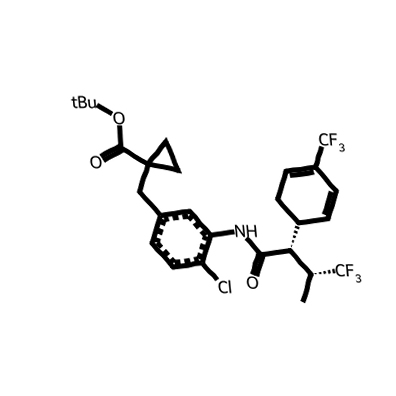 C[C@H]([C@H](C(=O)Nc1cc(CC2(C(=O)OC(C)(C)C)CC2)ccc1Cl)C1C=CC(C(F)(F)F)=CC1)C(F)(F)F